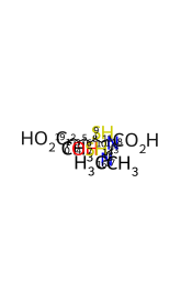 CC(=CC(O)CC(S)C(S)CCN(CCN(C)C)C(=O)O)C(=O)O